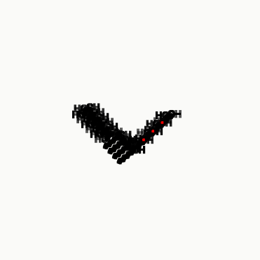 CCCCCCCC(=O)O.CCCCCCCC(=O)O.CCCCCCCC(=O)O.CCCCCCCC(=O)O.OCC(O)CO.OCC(O)CO.OCC(O)CO.OCC(O)CO.OCC(O)CO.OCC(O)CO.OCC(O)CO.OCC(O)CO.OCC(O)CO.OCC(O)CO